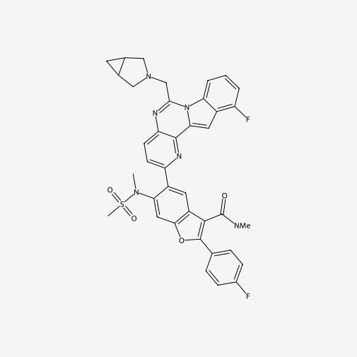 CNC(=O)c1c(-c2ccc(F)cc2)oc2cc(N(C)S(C)(=O)=O)c(-c3ccc4nc(CN5CC6CC6C5)n5c6cccc(F)c6cc5c4n3)cc12